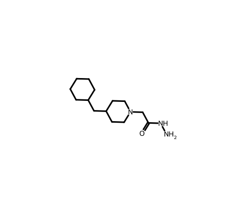 NNC(=O)CN1CCC(CC2CCCCC2)CC1